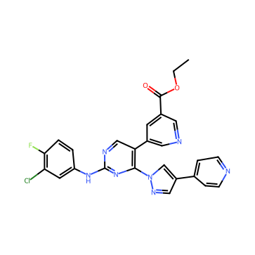 CCOC(=O)c1cncc(-c2cnc(Nc3ccc(F)c(Cl)c3)nc2-n2cc(-c3ccncc3)cn2)c1